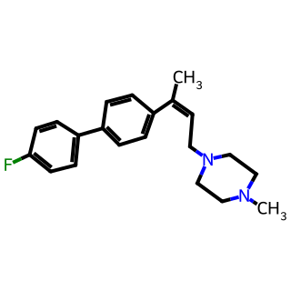 CC(=CCN1CCN(C)CC1)c1ccc(-c2ccc(F)cc2)cc1